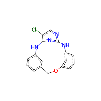 Clc1cnc2nc1Nc1cccc(c1)COc1cccc(c1)N2